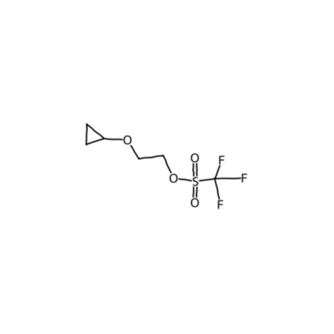 O=S(=O)(OCCOC1CC1)C(F)(F)F